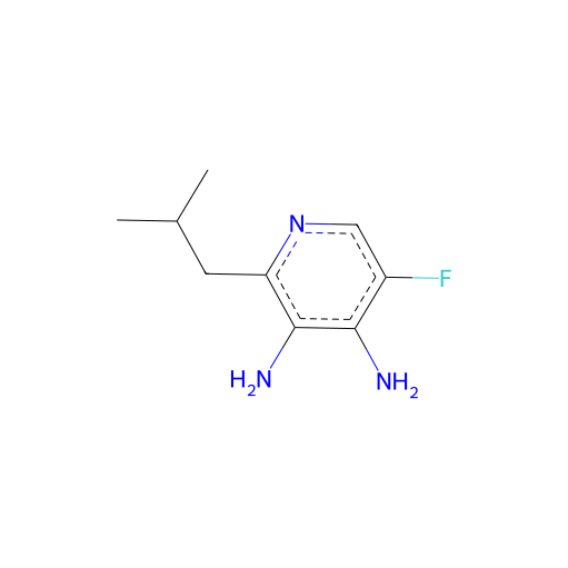 CC(C)Cc1ncc(F)c(N)c1N